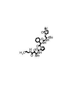 C=CCNC(=O)C(=O)C(CCC)NC(=O)[C@@H]1C=CCN1C(=O)[C@@H](NC(=O)N[C@H](CN1CCN(C(C)=O)[S+]1[O-])C(C)(C)C)C1CCCCC1